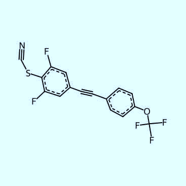 N#CSc1c(F)cc(C#Cc2ccc(OC(F)(F)F)cc2)cc1F